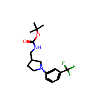 CC(C)(C)OC(=O)NCC1CCN(c2cccc(C(F)(F)F)c2)C1